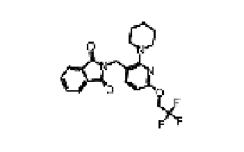 O=C1c2ccccc2C(=O)N1Cc1ccc(OCC(F)(F)F)nc1N1CCCCC1